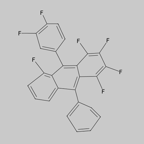 Fc1ccc(-c2c3c(F)cccc3c(-c3ccccc3)c3c(F)c(F)c(F)c(F)c23)cc1F